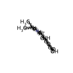 CCCCCCN(CCCCCC)c1ccc(/C=C/c2cc[n+](CCCC(=O)NCCOCCOCCOCCC(=O)O)cc2)cc1